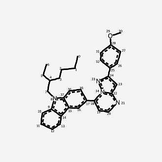 CCCCC(CC)Cn1c2ccccc2c2cc(-c3ccnc4cc(-c5ccc(OC)cc5)nn34)ccc21